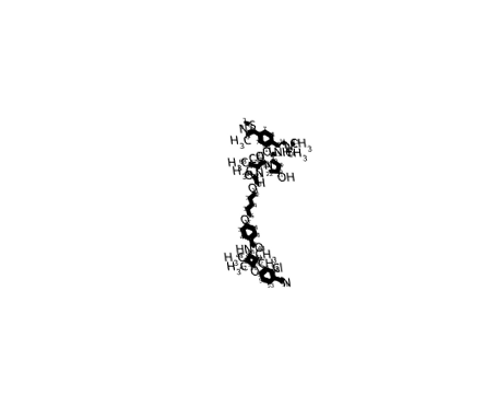 Cc1ncsc1-c1ccc([C@@H](CN(C)C)NC(=O)[C@@H]2C[C@@H](O)CN2C(=O)[C@@H](NC(=O)COCCCCCOc2ccc(C(=O)N[C@H]3C(C)(C)[C@H](Oc4ccc(C#N)c(Cl)c4)C3(C)C)cc2)C(C)(C)C)cc1